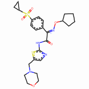 O=C(Nc1ncc(CN2CCOCC2)s1)/C(=N/OC1CCCC1)c1ccc(S(=O)(=O)C2CC2)cc1